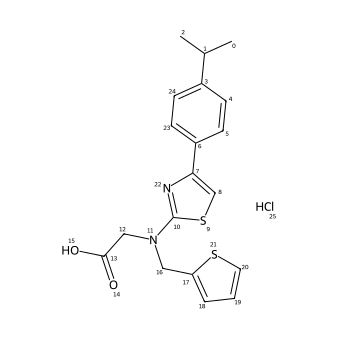 CC(C)c1ccc(-c2csc(N(CC(=O)O)Cc3cccs3)n2)cc1.Cl